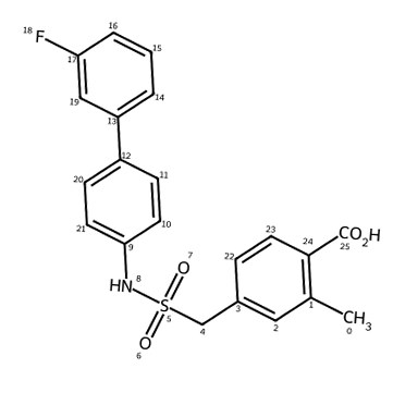 Cc1cc(CS(=O)(=O)Nc2ccc(-c3cccc(F)c3)cc2)ccc1C(=O)O